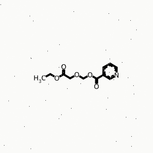 CCOC(=O)COCOC(=O)c1cccnc1